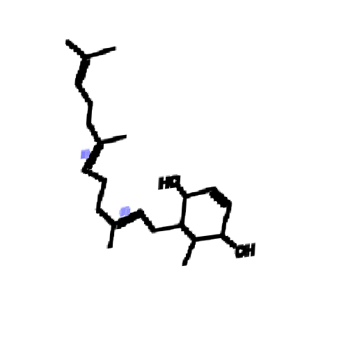 CC(C)=CCC/C(C)=C/CC/C(C)=C/CC1C(O)C=CC(O)C1C